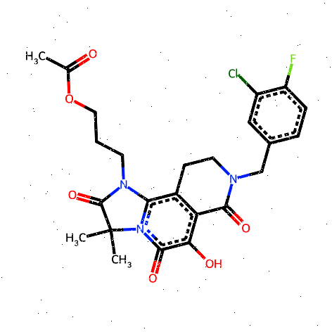 CC(=O)OCCCN1C(=O)C(C)(C)n2c1c1c(c(O)c2=O)C(=O)N(Cc2ccc(F)c(Cl)c2)CC1